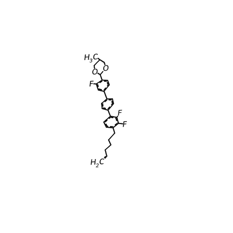 C=CCCCCc1ccc(-c2ccc(-c3ccc(C4OCC(C)CO4)c(F)c3)cc2)c(F)c1F